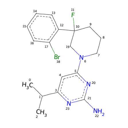 CC(C)c1cc(N2CCCC(F)(c3ccccc3Br)C2)nc(N)n1